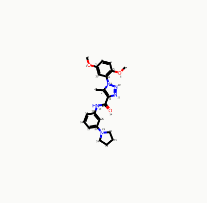 COc1ccc(OC)c(-n2nnc(C(=O)Nc3cccc(N4CCCC4)c3)c2C)c1